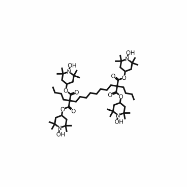 CCCCC(CCCCCCCCC(CCCC)(C(=O)OC1CC(C)(C)N(O)C(C)(C)C1)C(=O)OC1CC(C)(C)N(O)C(C)(C)C1)(C(=O)OC1CC(C)(C)N(O)C(C)(C)C1)C(=O)OC1CC(C)(C)N(O)C(C)(C)C1